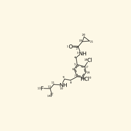 Cl.O=C(NCc1cc(CCNCC(F)F)ccc1Cl)C1CC1